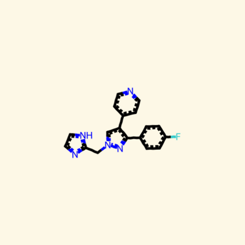 Fc1ccc(-c2nn(Cc3ncc[nH]3)cc2-c2ccncc2)cc1